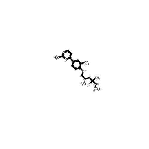 Cc1nccc(-c2ccc(OC[C@@H](C)CC(C)(C)NC(=O)O)c(C(F)(F)F)c2)n1